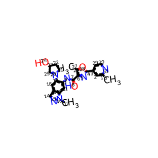 Cc1cc(-c2nc(C(=O)Nc3cc4c(cnn4C)cc3N3CCC(O)C3)c(C)o2)ccn1